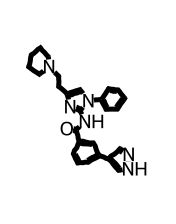 O=C(Nc1nc(CCN2CCCCC2)cn1-c1ccccc1)c1cccc(-c2cn[nH]c2)c1